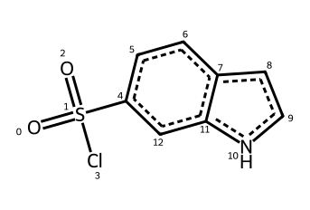 O=S(=O)(Cl)c1ccc2cc[nH]c2c1